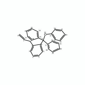 C=CCc1ccccc1C(Oc1ccccc1)(c1ccccc1)c1ccccc1